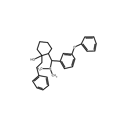 CN(C)C(c1cccc(Oc2ccccc2)c1)C1CCCCC1(O)CCc1ccccc1